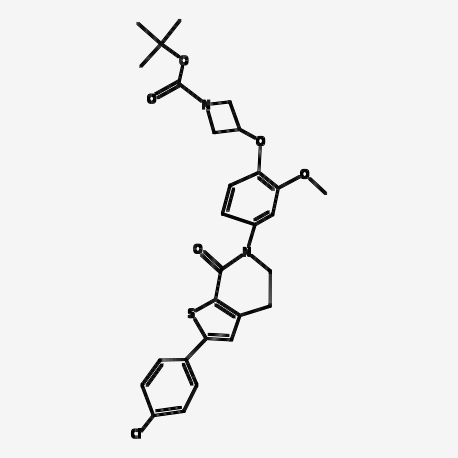 COc1cc(N2CCc3cc(-c4ccc(Cl)cc4)sc3C2=O)ccc1OC1CN(C(=O)OC(C)(C)C)C1